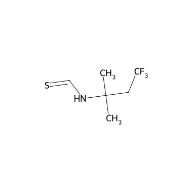 CC(C)(CC(F)(F)F)NC=S